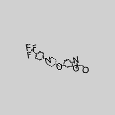 O=Cc1nc2ccc(OC3CCN(c4ccc(C(F)(F)F)cc4)CC3)cc2o1